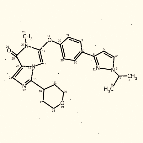 CC(C)n1ccc(-c2ccc(Oc3cn4c(C5CCOCC5)ncc4c(=O)n3C)cc2)n1